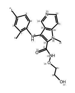 Cc1cc(I)ccc1Nc1c(C(=O)NOCCO)n(C)c2ccncc12